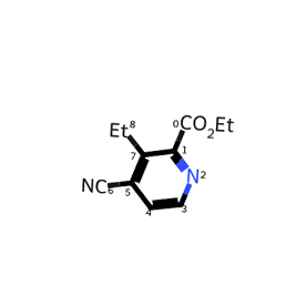 CCOC(=O)c1nccc(C#N)c1CC